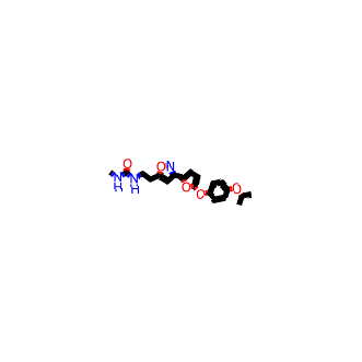 CNC(=O)NCCc1cc(-c2ccc(Oc3ccc(OC(C)C)cc3)o2)no1